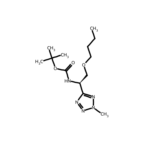 CCCCOC[C@H](NC(=O)OC(C)(C)C)c1nnn(C)n1